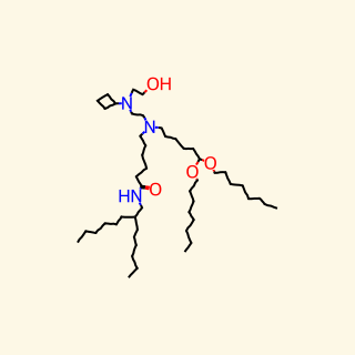 CCCCCCCCOC(CCCCCN(CCCCCC(=O)NCC(CCCCCC)CCCCCC)CCN(CCO)C1CCC1)OCCCCCCCC